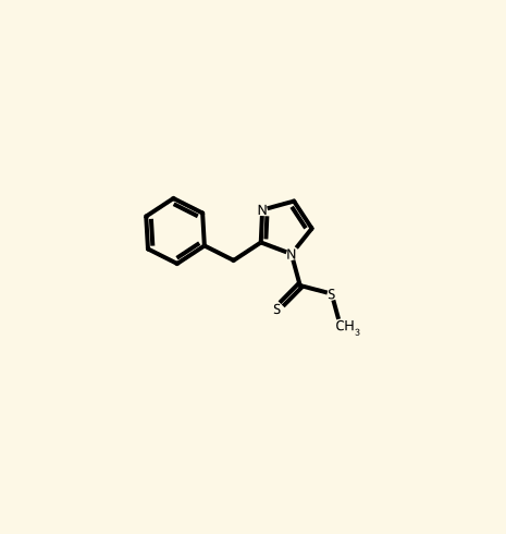 CSC(=S)n1ccnc1Cc1ccccc1